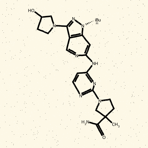 CC[C@@H](C)n1nc(N2CCC(O)C2)c2cnc(Nc3ccnc(N4CCC(C)(C(N)=O)C4)n3)cc21